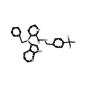 O=C(NCc1ccc(C(F)(F)F)cc1)c1ncccc1N(Cc1ccccc1)c1c[nH]c2ncccc12